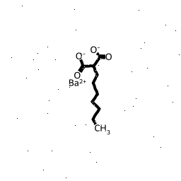 CCCCCCCC(C(=O)[O-])C(=O)[O-].[Ba+2]